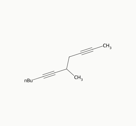 CC#CCC(C)C#CCC[CH]C